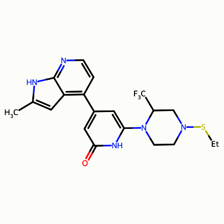 CCSN1CCN(c2cc(-c3ccnc4[nH]c(C)cc34)cc(=O)[nH]2)C(C(F)(F)F)C1